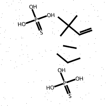 C=CC(C)(C)C.CC.CCC.OP(O)(O)=S.OP(O)(O)=S